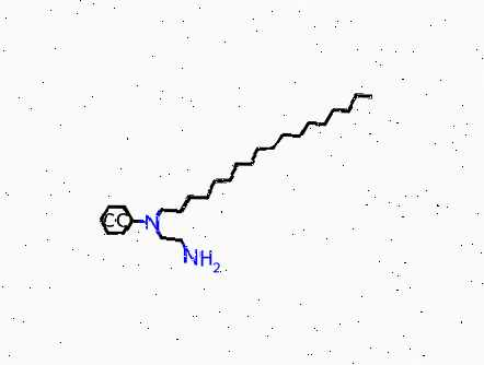 CCCCCCCCCCCCCCCCCCN(CCN)C12CCC(CC1)CC2